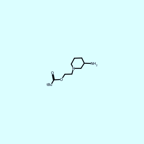 CC(C)(C)C(=O)OCCN1CCCC(N)C1